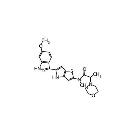 COc1ccc2c(-c3cc4sc(N(C)C(=O)C(C)N5CCOCC5)cc4[nH]3)n[nH]c2c1